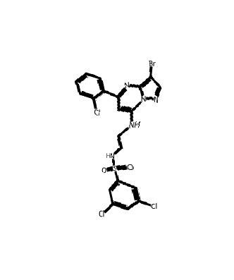 O=S(=O)(NCCNc1cc(-c2ccccc2Cl)nc2c(Br)cnn12)c1cc(Cl)cc(Cl)c1